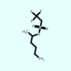 CCCCC(C)OS(=O)(=O)CC(F)(F)F